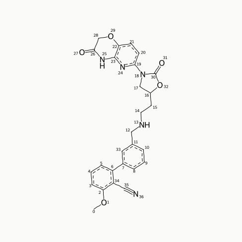 COc1cccc(-c2cccc(CNCCC3CN(c4ccc5c(n4)NC(=O)CO5)C(=O)O3)c2)c1C#N